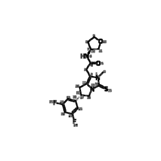 Cn1c(CC(=O)N[C@H]2CCOC2)c2n(c1=S)C[C@H](c1cc(F)cc(F)c1)C2